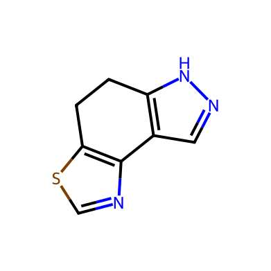 c1nc2c(s1)CCc1[nH]ncc1-2